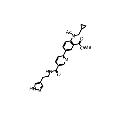 COC(=O)c1cc(-c2ccc(C(=O)NCCc3cn[nH]c3)cn2)ccc1N(CC1CC1)C(C)=O